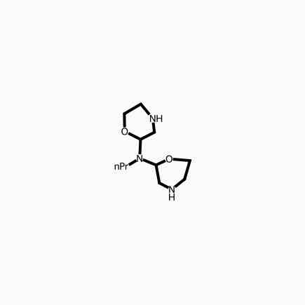 CCCN(C1CNCCO1)C1CNCCO1